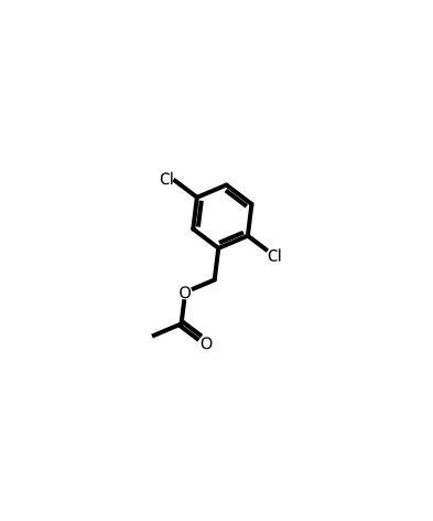 CC(=O)OCc1cc(Cl)ccc1Cl